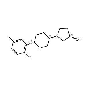 O[C@@H]1CCN([C@@H]2CC[C@@H](c3cc(F)ccc3F)OC2)C1